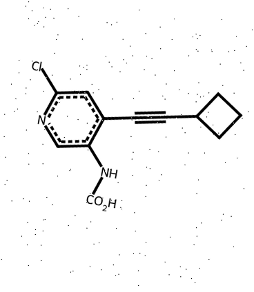 O=C(O)Nc1cnc(Cl)cc1C#CC1CCC1